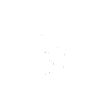 Nc1ccc(Cl)c(Nc2cc(NC3CC3)c3ncc(N)n3n2)c1